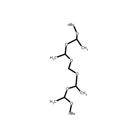 CCCCOC(C)OC(C)OCOC(C)OC(C)OCCCC